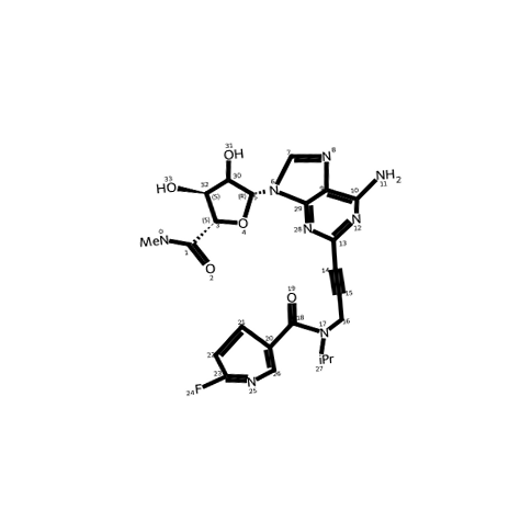 CNC(=O)[C@H]1O[C@@H](n2cnc3c(N)nc(C#CCN(C(=O)c4ccc(F)nc4)C(C)C)nc32)C(O)[C@@H]1O